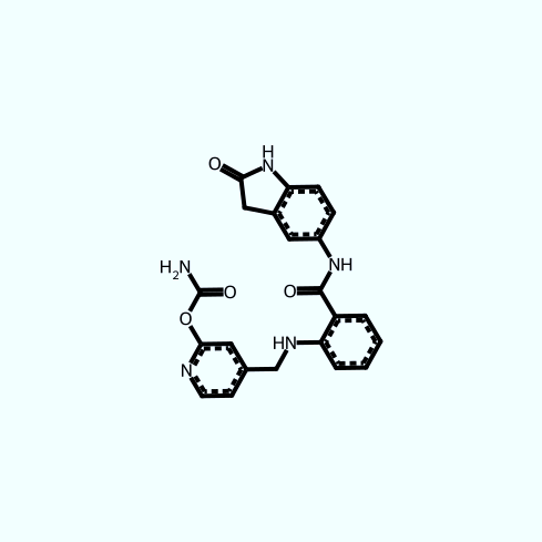 NC(=O)Oc1cc(CNc2ccccc2C(=O)Nc2ccc3c(c2)CC(=O)N3)ccn1